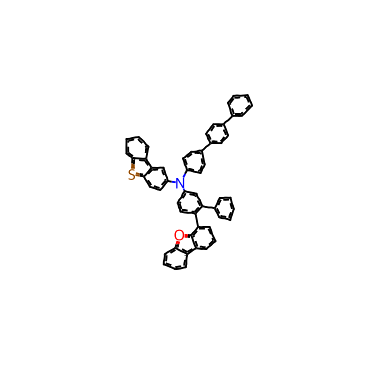 c1ccc(-c2ccc(-c3ccc(N(c4ccc(-c5cccc6c5oc5ccccc56)c(-c5ccccc5)c4)c4ccc5sc6ccccc6c5c4)cc3)cc2)cc1